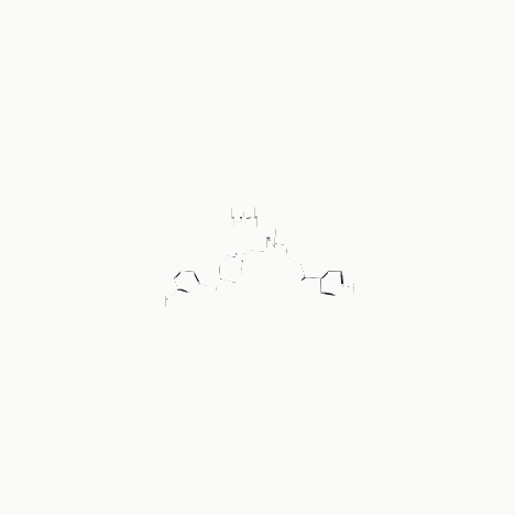 CCN(CCCC(=O)c1ccc(F)cc1)CCN1CCC(Oc2cccc(Cl)c2)CC1.Cl.Cl